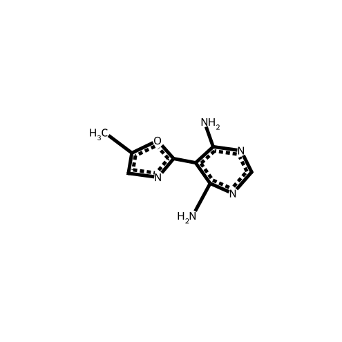 Cc1cnc(-c2c(N)ncnc2N)o1